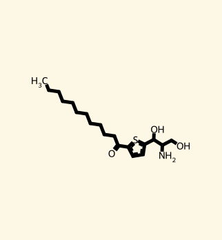 CCCCCCCCCCCC(=O)c1ccc(C(O)C(N)CO)s1